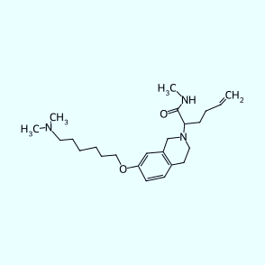 C=CCCC(C(=O)NC)N1CCc2ccc(OCCCCCCN(C)C)cc2C1